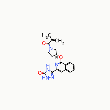 C=C(C)C(=O)N1CC[C@@H](Oc2nc(-c3n[nH]c(=O)[nH]3)cc3ccccc23)C1